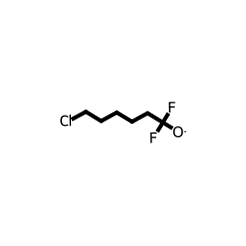 [O]C(F)(F)CCCCCCl